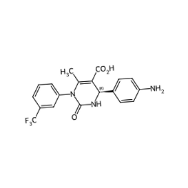 CC1=C(C(=O)O)[C@@H](c2ccc(N)cc2)NC(=O)N1c1cccc(C(F)(F)F)c1